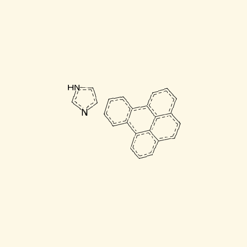 c1c[nH]cn1.c1ccc2c(c1)c1cccc3ccc4cccc2c4c31